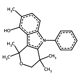 Cc1ccc2c(c1O)c1c(n2-c2ccccc2)C(C)(C)COC1(C)C